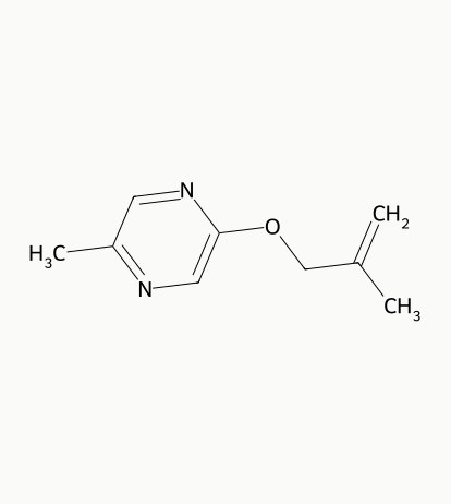 C=C(C)COc1cnc(C)cn1